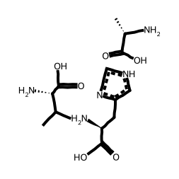 CC(C)[C@H](N)C(=O)O.C[C@H](N)C(=O)O.N[C@@H](Cc1c[nH]cn1)C(=O)O